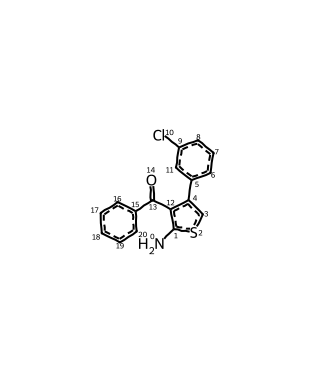 Nc1scc(-c2cccc(Cl)c2)c1C(=O)c1ccccc1